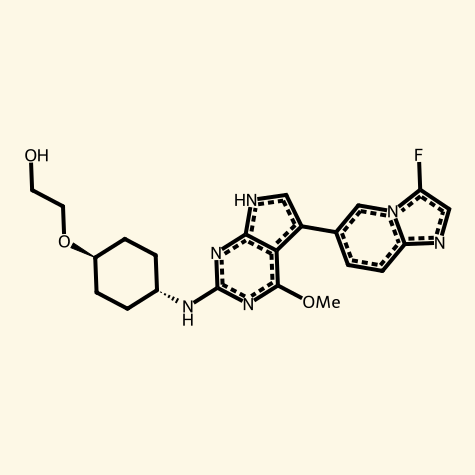 COc1nc(N[C@H]2CC[C@H](OCCO)CC2)nc2[nH]cc(-c3ccc4ncc(F)n4c3)c12